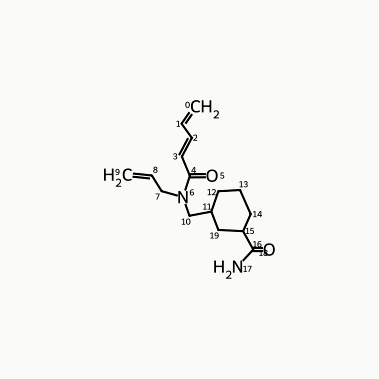 C=CC=CC(=O)N(CC=C)CC1CCCC(C(N)=O)C1